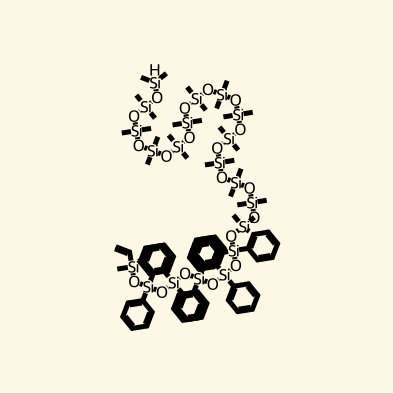 C=C[Si](C)(C)O[Si](O[Si](O[Si](O[Si](O[Si](O[Si](C)(C)O[Si](C)(C)O[Si](C)(C)O[Si](C)(C)O[Si](C)(C)O[Si](C)(C)O[Si](C)(C)O[Si](C)(C)O[Si](C)(C)O[Si](C)(C)O[Si](C)(C)O[Si](C)(C)O[Si](C)(C)O[SiH](C)C)(c1ccccc1)c1ccccc1)(c1ccccc1)c1ccccc1)(c1ccccc1)c1ccccc1)(c1ccccc1)c1ccccc1)(c1ccccc1)c1ccccc1